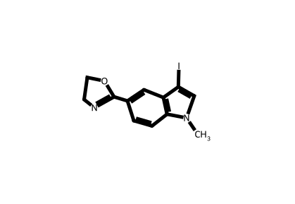 Cn1cc(I)c2cc(C3=NCCO3)ccc21